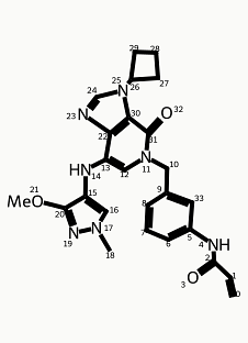 C=CC(=O)Nc1cccc(Cn2cc(Nc3cn(C)nc3OC)c3ncn(C4CCC4)c3c2=O)c1